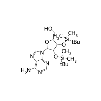 CC(C)(C)[Si](C)(C)OC1C(CO)OC(n2cnc3c(N)ncnc32)C1O[Si](C)(C)C(C)(C)C